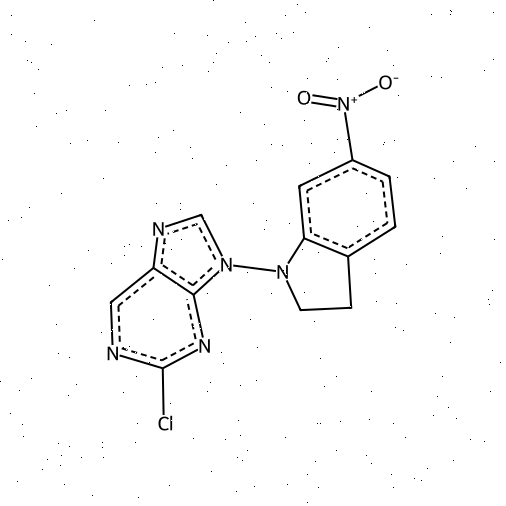 O=[N+]([O-])c1ccc2c(c1)N(n1cnc3cnc(Cl)nc31)CC2